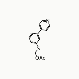 CC(=O)OCSc1cc[c]c(-c2ccncc2)c1